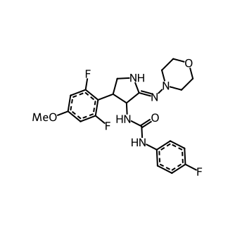 COc1cc(F)c(C2CN/C(=N\N3CCOCC3)C2NC(=O)Nc2ccc(F)cc2)c(F)c1